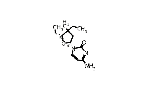 CC[C@H]1O[C@@H](n2ccc(N)nc2=O)CC1(C)CC